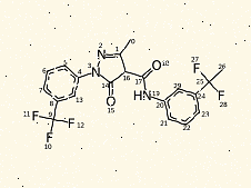 CC1=NN(c2cccc(C(F)(F)F)c2)C(=O)C1C(=O)Nc1cccc(C(C)(F)F)c1